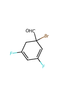 O=CC1(Br)C=C(F)C=C(F)C1